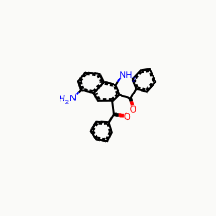 Nc1cccc2c(N)c(C(=O)c3ccccc3)c(C(=O)c3ccccc3)cc12